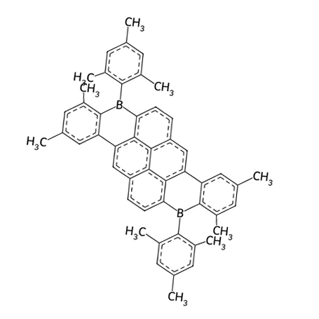 Cc1cc(C)c(B2c3c(C)cc(C)cc3-c3cc4ccc5c6c(cc7ccc2c3c7c46)-c2cc(C)cc(C)c2B5c2c(C)cc(C)cc2C)c(C)c1